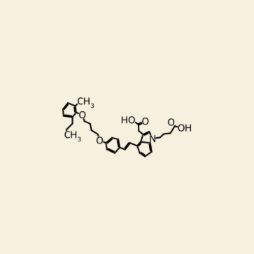 CCCc1cccc(C)c1OCCCCOc1ccc(/C=C/c2cccc3c2c(CC(=O)O)cn3CCCC(=O)O)cc1